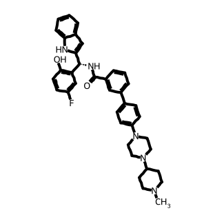 CN1CCC(N2CCN(c3ccc(-c4cccc(C(=O)N[C@@H](c5cc6ccccc6[nH]5)c5cc(F)ccc5O)c4)cc3)CC2)CC1